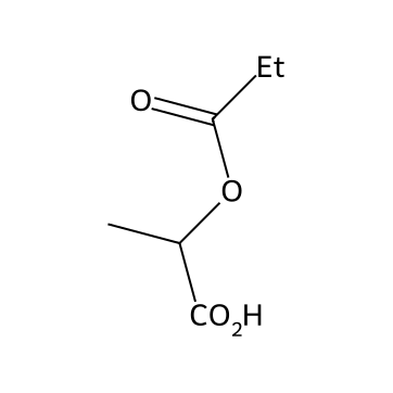 CCC(=O)OC(C)C(=O)O